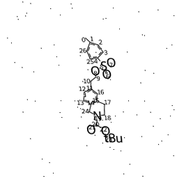 Cc1ccc(S(=O)(=O)OCCc2ccc3c(c2)CCN(C(=O)OC(C)(C)C)C3)cc1